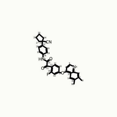 Cc1cc2nccc(Oc3ccc(C(=O)C(=O)Nc4ccc(C5(C#N)CCCC5)cc4)c(F)c3)c2cc1C